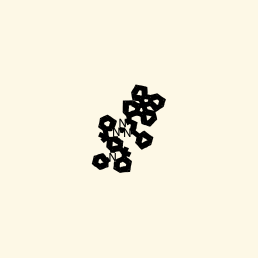 CC1(C)c2ccccc2N(c2ccccc2)c2cc3c(cc21)N(c1nc(-c2ccccc2)cc(-c2cccc4c2-c2ccccc2C42c4ccccc4-c4ccccc42)n1)c1ccccc1C3(C)C